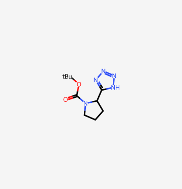 CC(C)(C)OC(=O)N1CCCC1c1nnn[nH]1